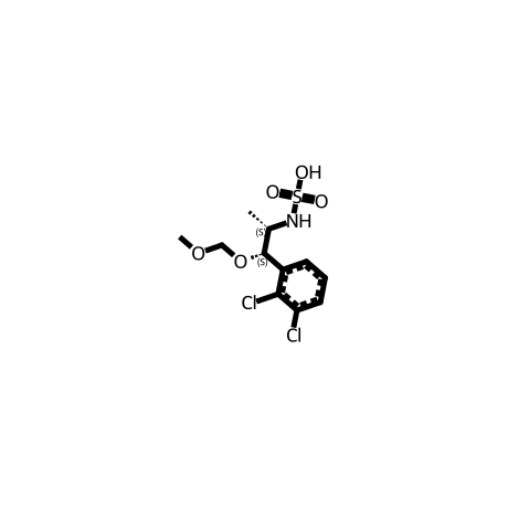 COCO[C@@H](c1cccc(Cl)c1Cl)[C@H](C)NS(=O)(=O)O